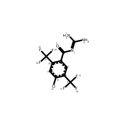 NC(N)=NC(=O)c1cc(C(F)(F)F)c(Cl)cc1C(F)(F)F